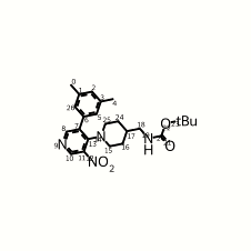 Cc1cc(C)cc(-c2cncc([N+](=O)[O-])c2N2CCC(CNC(=O)OC(C)(C)C)CC2)c1